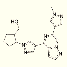 Cn1cc(-c2cn3nccc3c(-c3cnn(C4CCCC4CO)c3)n2)cn1